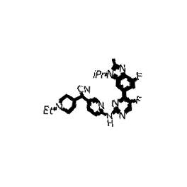 CCN1CCC(C(C#N)c2ccc(Nc3ncc(F)c(-c4cc(F)c5nc(C)n(C(C)C)c5c4)n3)nc2)CC1